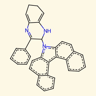 C1=C2N=C(c3ccccc3)C(n3c4ccc5ccccc5c4c4c5ccccc5ccc43)NC2=CCC1